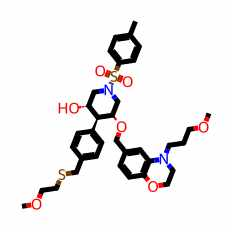 COCCCN1CCOc2ccc(CO[C@H]3CN(S(=O)(=O)c4ccc(C)cc4)C[C@@H](O)[C@@H]3c3ccc(CSCCOC)cc3)cc21